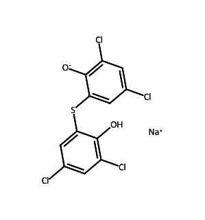 [Na+].[O-]c1c(Cl)cc(Cl)cc1Sc1cc(Cl)cc(Cl)c1O